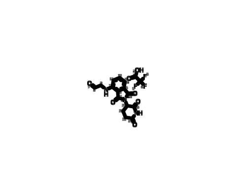 O=C(O)C(F)(F)F.O=CCNc1cccc2c1C(=O)N(C1CCC(=O)NC1=O)C2=O